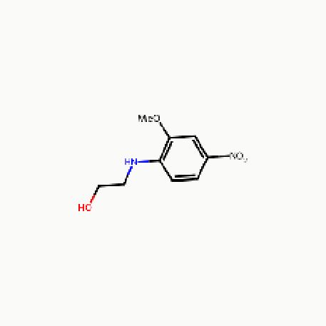 COc1cc([N+](=O)[O-])ccc1NCCO